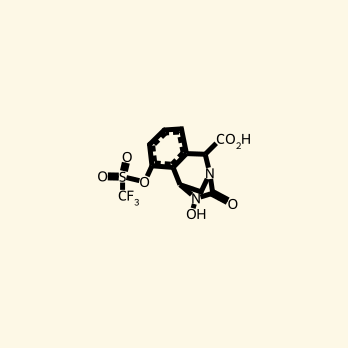 O=C(O)C1c2cccc(OS(=O)(=O)C(F)(F)F)c2C2CN1C(=O)N2O